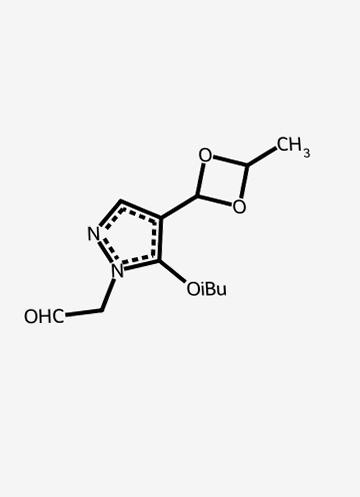 CC(C)COc1c(C2OC(C)O2)cnn1CC=O